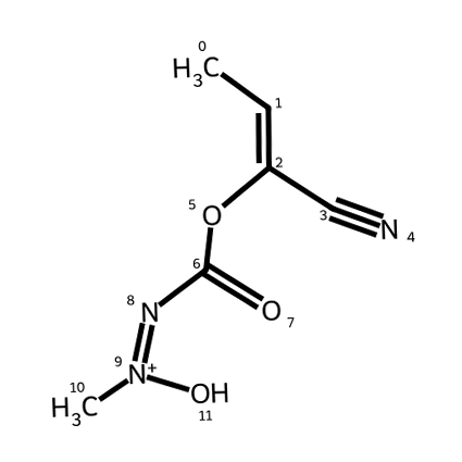 C/C=C(/C#N)OC(=O)N=[N+](C)O